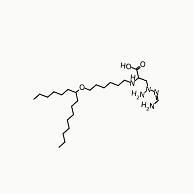 CCCCCCCCC(CCCCCC)OCCCCCCNC(CN(N)/N=C\N)C(=O)O